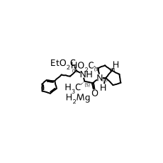 CCOC(=O)[C@H](CCc1ccccc1)N[C@@H](C)C(=O)N1[C@H](C(=O)O)C[C@@H]2CCC[C@@H]21.[MgH2]